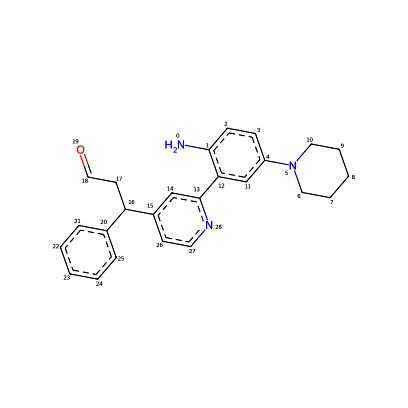 Nc1ccc(N2CCCCC2)cc1-c1cc(C(CC=O)c2ccccc2)ccn1